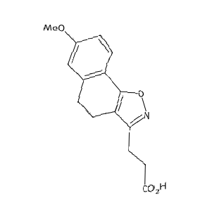 COc1ccc2c(c1)CCc1c(CCC(=O)O)noc1-2